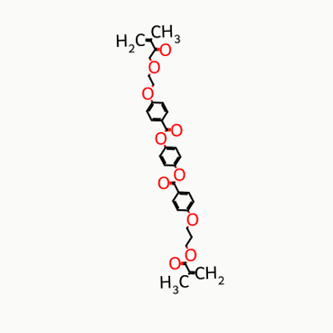 C=C(C)C(=O)COCCOc1ccc(C(=O)Oc2ccc(OC(=O)c3ccc(OCCCOC(=O)C(=C)C)cc3)cc2)cc1